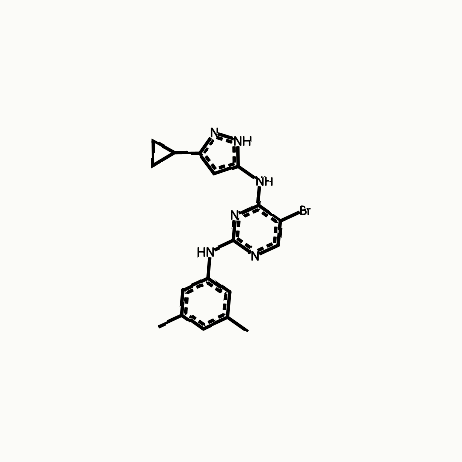 Cc1cc(C)cc(Nc2ncc(Br)c(Nc3cc(C4CC4)n[nH]3)n2)c1